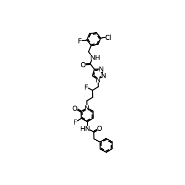 O=C(Cc1ccccc1)Nc1ccn(CCC(F)Cn2cc(C(=O)NCc3cc(Cl)ccc3F)nn2)c(=O)c1F